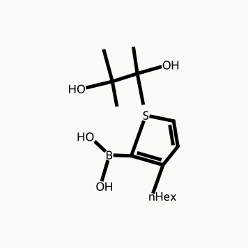 CC(C)(O)C(C)(C)O.CCCCCCc1ccsc1B(O)O